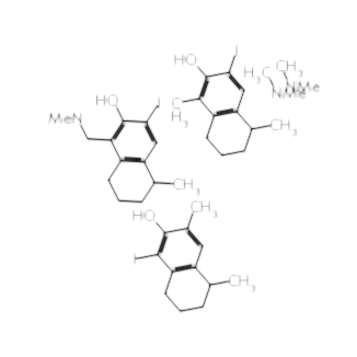 CNC.CNC.CNCc1c(O)c(I)cc2c1CCCC2C.Cc1c(O)c(I)cc2c1CCCC2C.Cc1cc2c(c(I)c1O)CCCC2C